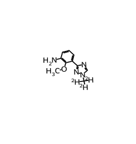 [2H]C([2H])([2H])n1cnc(-c2cccc(N)c2OC)n1